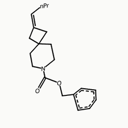 CCCC=C1CC2(CCN(C(=O)OCc3ccccc3)CC2)C1